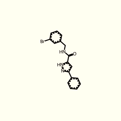 O=C(NCc1cccc(Br)c1)c1cc(-c2ccccc2)n[nH]1